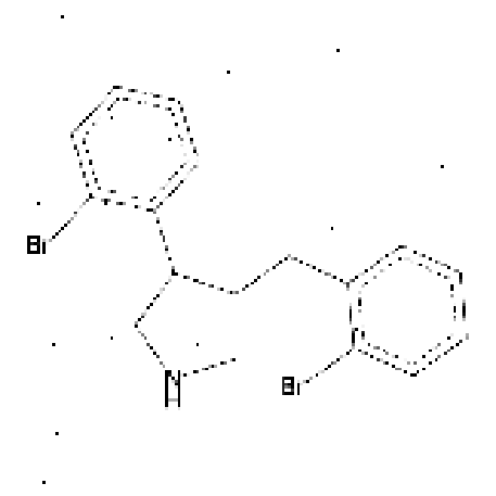 Brc1ccccc1CC1CNCC1c1ccccc1Br